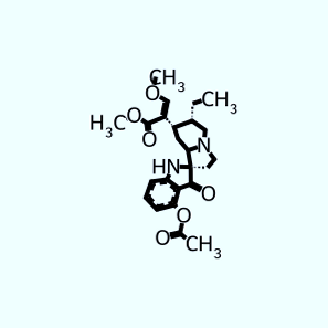 CC[C@@H]1CN2CC[C@]3(Nc4cccc(OC(C)=O)c4C3=O)C2C[C@@H]1C(=COC)C(=O)OC